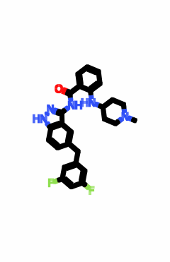 CN1CCC(Nc2ccccc2C(=O)Nc2n[nH]c3ccc(Cc4cc(F)cc(F)c4)cc23)CC1